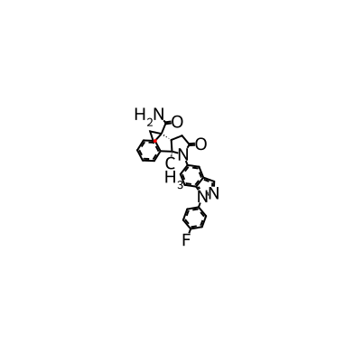 C[C@]1(c2ccccc2)[C@H](C2(C(N)=O)CC2)CC(=O)N1c1ccc2c(cnn2-c2ccc(F)cc2)c1